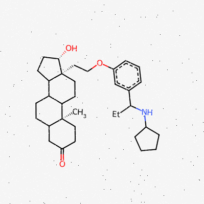 CCC(NC1CCCC1)c1cccc(OCC[C@]23CCC4C(CCC5CC(=O)CC[C@@]54C)C2CC[C@@H]3O)c1